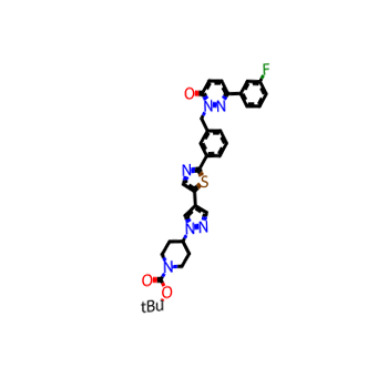 CC(C)(C)OC(=O)N1CCC(n2cc(-c3cnc(-c4cccc(Cn5nc(-c6cccc(F)c6)ccc5=O)c4)s3)cn2)CC1